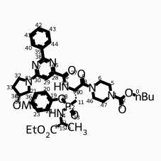 CCCCOC(=O)N1CCN(C(=O)[C@H](CP(=O)(N[C@@H](C)C(=O)OCC)Oc2ccccc2)NC(=O)c2cc(N3CC[C@H](OC)C3)nc(-c3ccccc3)n2)CC1